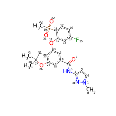 Cn1ccc(NC(=O)c2cc(Oc3cc(F)ccc3S(C)(=O)=O)c3c(c2)OC(C)(C)C3)n1